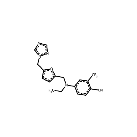 N#Cc1ccc(N(Cc2ccc(Cn3cncn3)o2)CC(F)(F)F)cc1C(F)(F)F